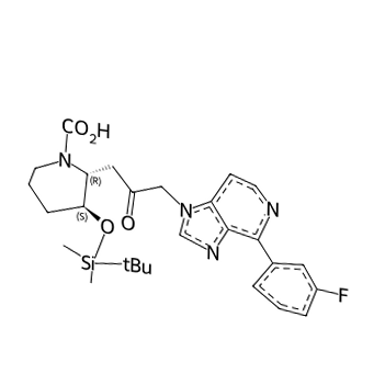 CC(C)(C)[Si](C)(C)O[C@H]1CCCN(C(=O)O)[C@@H]1CC(=O)Cn1cnc2c(-c3cccc(F)c3)nccc21